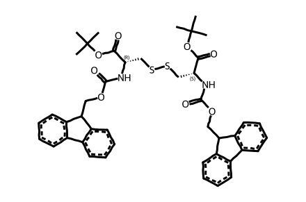 CC(C)(C)OC(=O)[C@H](CSSC[C@@H](NC(=O)OCC1c2ccccc2-c2ccccc21)C(=O)OC(C)(C)C)NC(=O)OCC1c2ccccc2-c2ccccc21